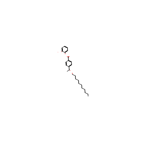 CCCCCCCCCCCCCCCCCCCCOC(C)c1ccc(C(=O)Oc2ccccc2OCCCCCCCC)cc1